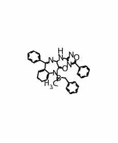 CB(Cc1ccccc1)N1C(=O)C(Nc2noc(-c3ccccc3)n2)N=C(c2ccccc2)C2=CCCC=C21